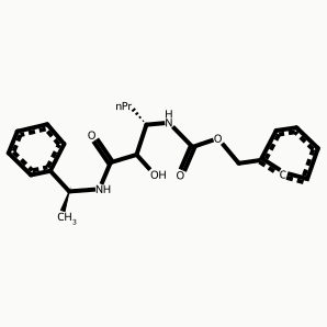 CCC[C@H](NC(=O)OCc1ccccc1)C(O)C(=O)N[C@@H](C)c1ccccc1